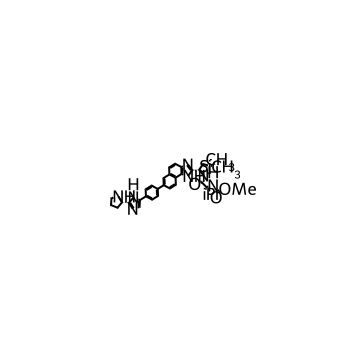 COC(=O)N[C@H](C(=O)N1C[Si](C)(C)C[C@H]1c1nc2ccc3cc(-c4ccc(-c5cnc([C@@H]6CCCN6)[nH]5)cc4)ccc3c2[nH]1)C(C)C